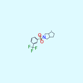 O=S(=O)(c1cccc(C(F)(F)F)c1)N1CC2[CH]CCC2C1